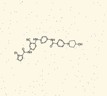 CCn1cccc1C(=O)Nc1ccc(Nc2ccc(NC(=O)c3ccc(N4CCC(O)CC4)cc3)cc2)c(C#N)c1